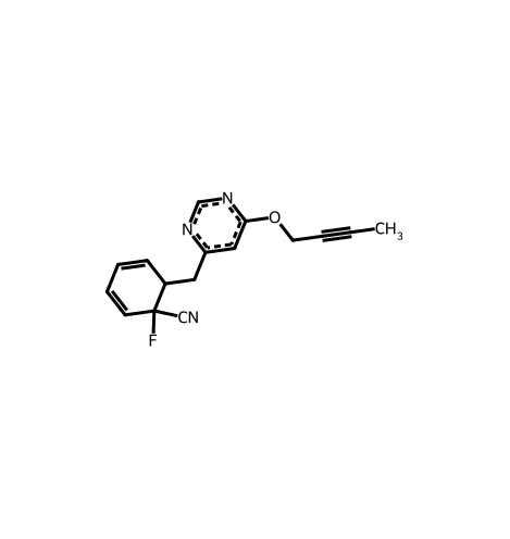 CC#CCOc1cc(CC2C=CC=CC2(F)C#N)ncn1